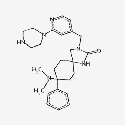 CN(C)C1(c2ccccc2)CCC2(CC1)CN(Cc1ccnc(N3CCNCC3)c1)C(=O)N2